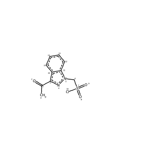 CC(=O)c1nn(CS(=O)(=O)Cl)c2ccccc12